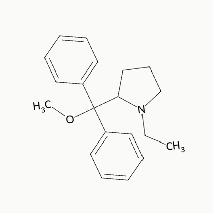 CCN1CCCC1C(OC)(c1ccccc1)c1ccccc1